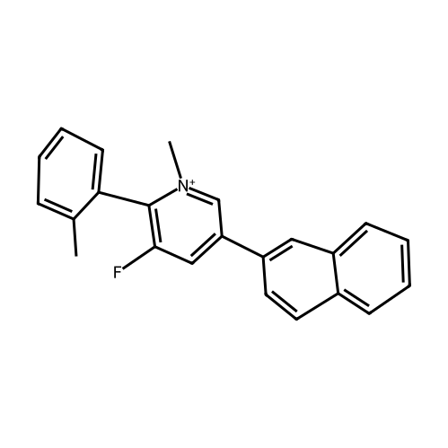 Cc1ccccc1-c1c(F)cc(-c2ccc3ccccc3c2)c[n+]1C